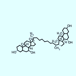 C[C@H](CCCCCCC[C@@H](C)[C@H]1CCC2[C@@H]3[C@@H](O)CC4C[C@H](O)CC[C@]4(C)[C@H]3CC[C@@]21C)[C@H]1CCC2[C@@H]3[C@@H](O)CC4C[C@H](O)CC[C@]4(C)[C@H]3CC[C@@]21C